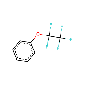 FC(F)(F)C(F)(F)Oc1ccccc1